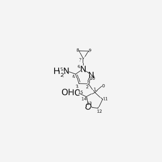 CC1(c2cc(N)n(C3CC3)n2)CCOC1C=O